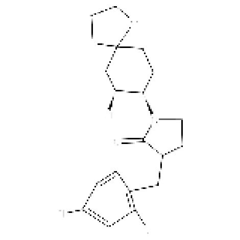 C[C@H]1CC2(CC[C@H]1N1CCC(Cc3ccc(Cl)cc3Cl)C1=O)OCCO2